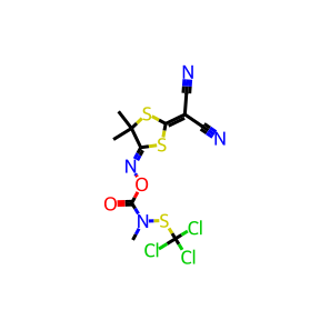 CN(SC(Cl)(Cl)Cl)C(=O)ON=C1SC(=C(C#N)C#N)SC1(C)C